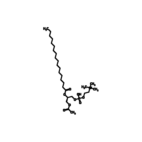 CCCCCCCCCCCCCCCCCC(=O)O[C@H](COC(C)=O)COP(=O)(O)OCC[N+](C)(C)C